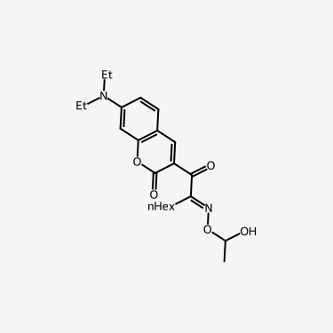 CCCCCC/C(=N\OC(C)O)C(=O)c1cc2ccc(N(CC)CC)cc2oc1=O